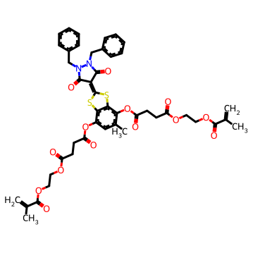 C=C(C)C(=O)OCCOC(=O)CCC(=O)Oc1cc(C)c(OC(=O)CCC(=O)OCCOC(=O)C(=C)C)c2c1SC(=C1C(=O)N(Cc3ccccc3)N(Cc3ccccc3)C1=O)S2